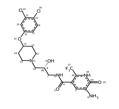 Nc1cc(C(=O)NC[C@@H](O)CN2CCC(Oc3ccc(Cl)c(Cl)c3)CC2)c(C(F)(F)F)[nH]c1=O